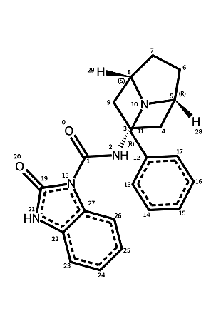 O=C(N[C@H]1C[C@H]2CC[C@@H](C1)N2Cc1ccccc1)n1c(=O)[nH]c2ccccc21